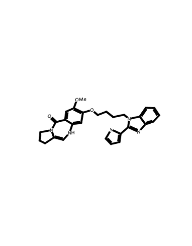 COc1cc2c(cc1OCCCCn1c(-c3cccs3)nc3ccccc31)NC=C1CCCN1C2=O